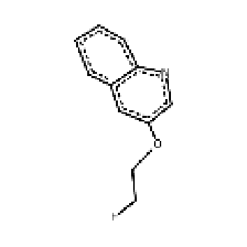 FCCOc1cnc2[c]cccc2c1